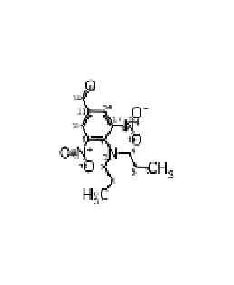 CCCN(CCC)c1c([N+](=O)[O-])cc(C=O)cc1[N+](=O)[O-]